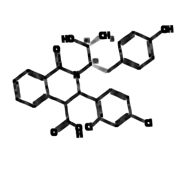 C[C@@H](O)[C@H](Cc1ccc(O)cc1)N1C(=O)c2ccccc2C(C(=O)O)C1c1ccc(Cl)cc1Cl